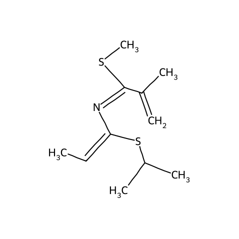 C=C(C)/C(=N\C(=C/C)SC(C)C)SC